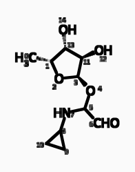 C[C@H]1O[C@H](OC(C=O)NC2CC2)[C@H](O)[C@H]1O